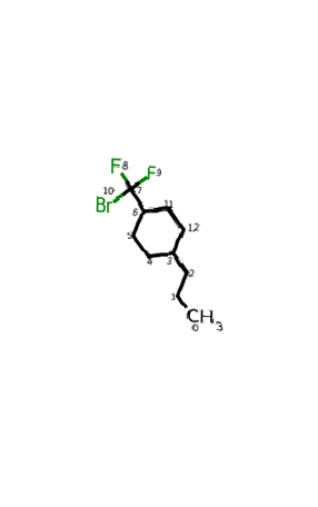 CCCC1CCC(C(F)(F)Br)CC1